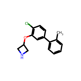 Cc1ccccc1-c1ccc(Cl)c(OC2CNC2)c1